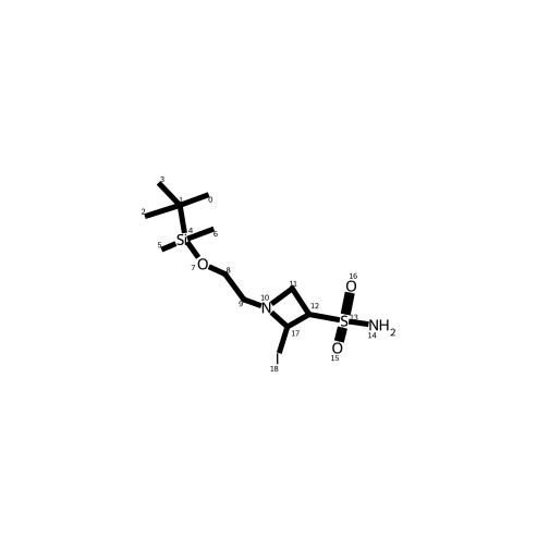 CC(C)(C)[Si](C)(C)OCCN1CC(S(N)(=O)=O)C1I